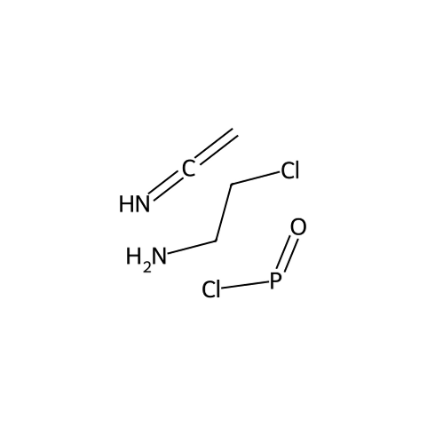 C=C=N.NCCCl.O=PCl